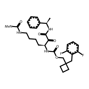 CNC(=O)NCCCC[C@H](NC(=O)OCC1(Cc2c(F)cccc2F)CCC1)C(=O)C(=O)N[C@H](C)c1ccccc1